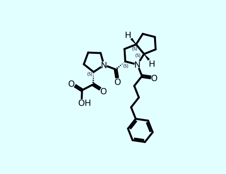 O=C(O)C(=O)[C@@H]1CCCN1C(=O)[C@@H]1C[C@@H]2CCC[C@@H]2N1C(=O)CCCc1ccccc1